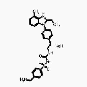 CCC1Nc2c(C)cccc2N1c1ccc(CCNC(=O)NS(=O)(=O)c2ccc(CN)cc2)cc1.[NaH]